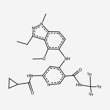 [2H]C([2H])([2H])NC(=O)c1cnc(NC(=O)C2CC2)cc1Nc1ccc2c(c(CC)nn2C)c1OC